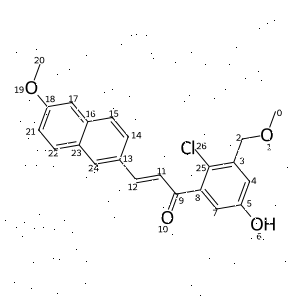 COCc1cc(O)cc(C(=O)/C=C/c2ccc3cc(OC)ccc3c2)c1Cl